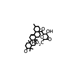 CC1CCC2(C(=O)C3OC(C(=O)O)C4OC4C3O)CCC3C(=CCC4C3(C)CCC3C(C)(C)C(=O)CCC34C)C2C1